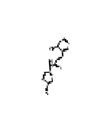 N#Cc1ccc(NC(=O)C=Cc2ccccc2Cl)cc1